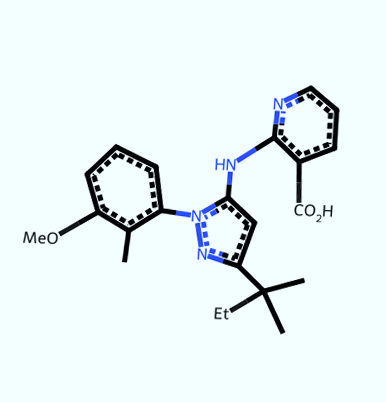 CCC(C)(C)c1cc(Nc2ncccc2C(=O)O)n(-c2cccc(OC)c2C)n1